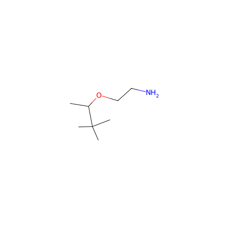 CC(OCCN)C(C)(C)C